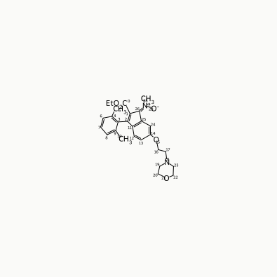 CCOC(=O)C1=C(c2c(C)cccc2C)c2ccc(OCCN3CCOCC3)cc2/C1=[N+](/C)[O-]